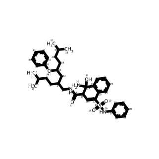 CC(C)CCC(CNC(=O)C1C=C(S(=O)(=O)Nc2ccccc2)c2ccccc2C1(N)O)CC(CCC(C)C)Oc1ccccc1